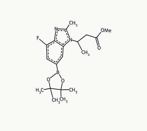 COC(=O)CC(C)n1c(C)nc2c(F)cc(B3OC(C)(C)C(C)(C)O3)cc21